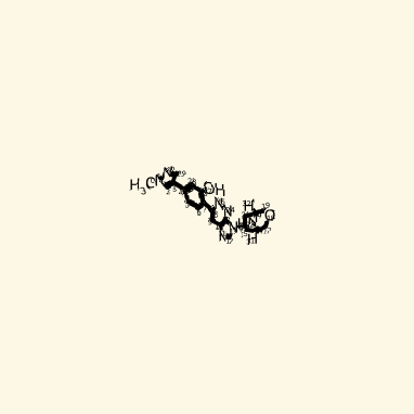 Cn1cc(-c2ccc(-c3cc4ncn([C@@H]5C[C@H]6COC[C@@H](C5)N6)c4nn3)c(O)c2)cn1